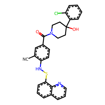 N#Cc1cc(C(=O)N2CCC(O)(c3ccccc3Cl)CC2)ccc1NSc1cccc2cccnc12